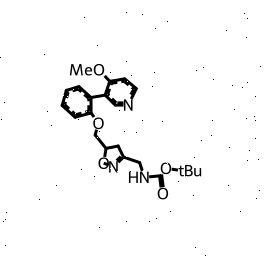 COc1ccncc1-c1ccccc1OCC1CC(CNC(=O)OC(C)(C)C)=NO1